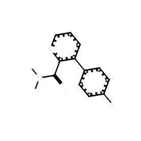 CCN(CC)C(=O)c1ncccc1-c1ccc(F)cc1